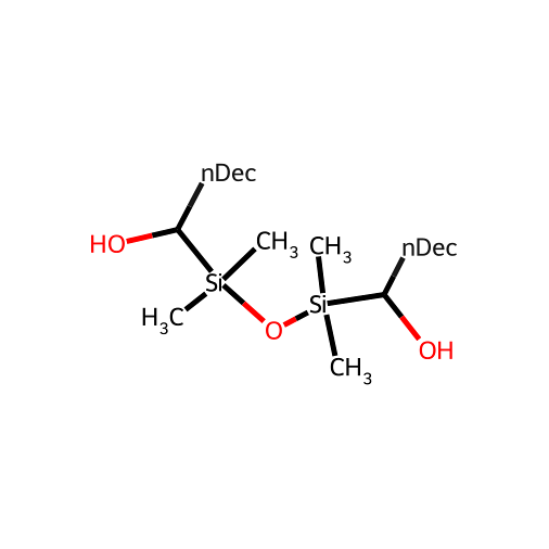 CCCCCCCCCCC(O)[Si](C)(C)O[Si](C)(C)C(O)CCCCCCCCCC